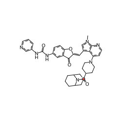 Cn1cc(C=C2Oc3ccc(NC(=O)Nc4cccnc4)cc3C2=O)c2c(N3CCC(C(=O)N4C5CCCC4COC5)CC3)ccnc21